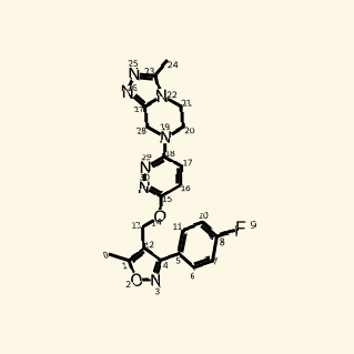 Cc1onc(-c2ccc(F)cc2)c1COc1ccc(N2CCn3c(C)nnc3C2)nn1